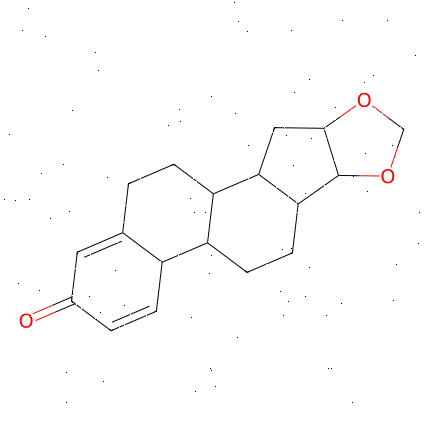 O=C1C=CC2C(=C1)CCC1C2CCC2C1CC1OCOC12